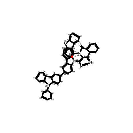 O=c1c2ccccc2c2ncnc(-n3c4ccccc4c4cc(-c5ccc6c(c5)c5ccccc5n6-c5ccccc5)ccc43)c2n1-c1cccc2oc3ccccc3c12